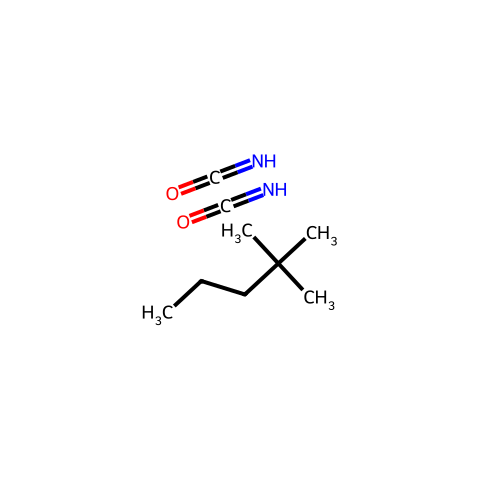 CCCC(C)(C)C.N=C=O.N=C=O